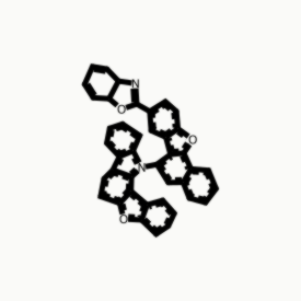 C1=CC2N=C(c3ccc4oc5c6ccccc6cc(-n6c7ccccc7c7ccc8oc9ccccc9c8c76)c5c4c3)OC2C=C1